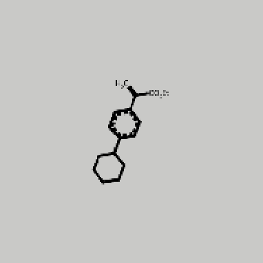 C=C(C(=O)OCC)c1ccc(C2CCCCC2)cc1